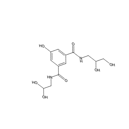 O=C(NCC(O)O)c1cc(O)cc(C(=O)NCC(O)CO)c1